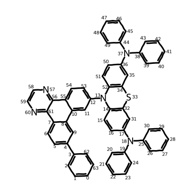 c1ccc(-c2ccc3c(c2)c2cc(N4c5ccc(N(c6ccccc6)c6ccccc6)cc5Sc5cc(N(c6ccccc6)c6ccccc6)ccc54)ccc2c2nccnc32)cc1